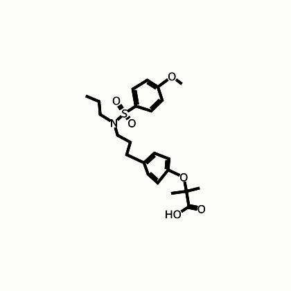 CCCN(CCCc1ccc(OC(C)(C)C(=O)O)cc1)S(=O)(=O)c1ccc(OC)cc1